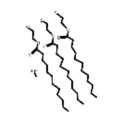 CCCCCCCCCCCC(=O)OCC[S-].CCCCCCCCCCCC(=O)OCC[S-].CCCCCCCCCCCC(=O)OCC[S-].[CH3][Sn+3]